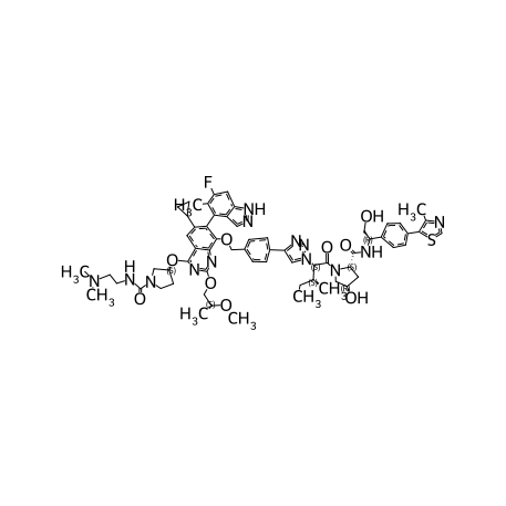 CC[C@H](C)[C@@H](C(=O)N1C[C@H](O)C[C@H]1C(=O)N[C@@H](CO)c1ccc(-c2scnc2C)cc1)n1cc(-c2ccc(COc3c(-c4c(C)c(F)cc5[nH]ncc45)c(C4CC4)cc4c(O[C@H]5CCN(C(=O)NCCN(C)C)C5)nc(OC[C@H](C)OC)nc34)cc2)nn1